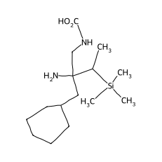 CC(C(N)(CNC(=O)O)CC1CCCCC1)[Si](C)(C)C